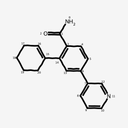 NC(=O)c1ccc(-c2cccnc2)cc1C1=CCCCC1